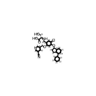 N#Cc1cncc(COc2cc(O[C@H]3CCc4c(-c5ccccc5)cccc43)c(Cl)cc2CN[C@@H](CO)C(=O)O)c1